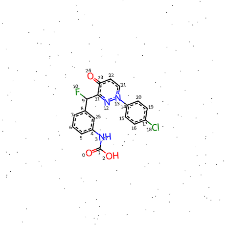 O=C(O)Nc1cccc(C(F)c2nn(-c3ccc(Cl)cc3)ccc2=O)c1